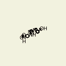 CC(C)(O)c1cccc2c1ccn2-c1ccnc(N[C@H]2CC[C@H](NS(C)(=O)=O)CC2)n1